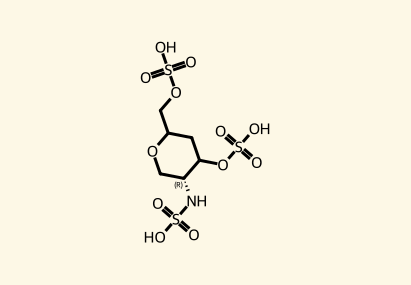 O=S(=O)(O)N[C@@H]1COC(COS(=O)(=O)O)CC1OS(=O)(=O)O